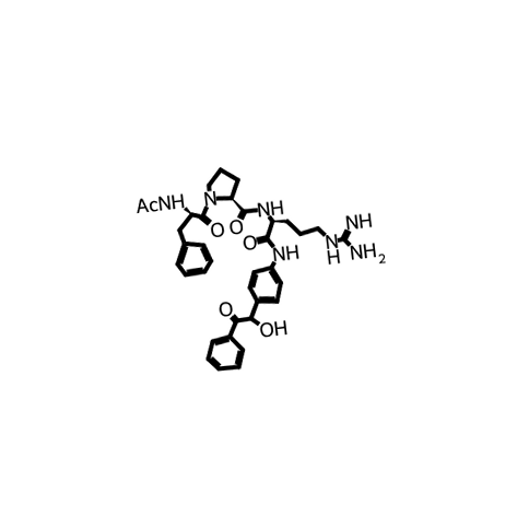 CC(=O)N[C@H](Cc1ccccc1)C(=O)N1CCC[C@H]1C(=O)N[C@@H](CCCNC(=N)N)C(=O)Nc1ccc(C(O)C(=O)c2ccccc2)cc1